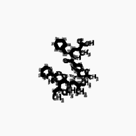 CC[C@H](C)[C@H](NC(=O)c1ncccn1)C(=O)N(C)[C@H](C[C@@H](OC(C)=O)c1nc(C(=O)N[C@@H](Cc2ccccc2)C[C@H](C)C(=O)O)cs1)C(C)C